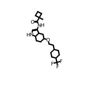 CC1(C(=O)NC2=CNC3CCC(OCCC4CCC(C(F)(F)F)CC4)CC23)CCC1